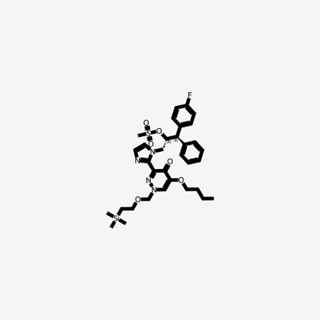 CCCCOc1cn(COCC[Si](C)(C)C)nc(-c2nccn2C[C@H](OS(C)(=O)=O)[C@H](c2ccccc2)c2ccc(F)cc2)c1=O